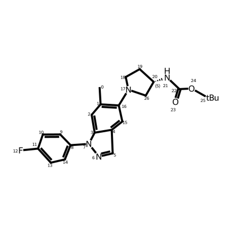 Cc1cc2c(cnn2-c2ccc(F)cc2)cc1N1CC[C@H](NC(=O)OC(C)(C)C)C1